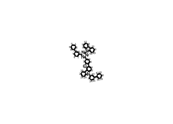 c1ccc(-c2cccc(-c3nc(-c4ccc5c(c4)oc4c5ccc5c4c4ccccc4n5-c4cccc(-c5ccccc5)c4)nc(-n4c5ccccc5c5ccccc54)n3)c2)cc1